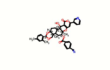 Cc1ccc([C@@H]2OC[C@@]3(C)C4C[C@H](OC(=O)c5ccc(C#N)cc5)[C@@]5(C)Oc6cc(-c7cccnc7)oc(=O)c6[C@H](O)C5[C@@]4(C)CC[C@@H]3O2)c(C)c1